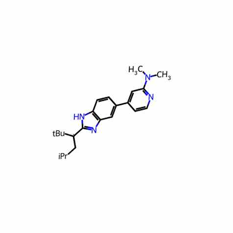 CC(C)C[C](c1nc2cc(-c3ccnc(N(C)C)c3)ccc2[nH]1)C(C)(C)C